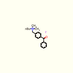 CCCC[N+](C)(C)Cc1ccc(C(=O)c2ccccc2)cc1.[I-]